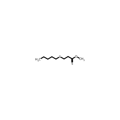 CCCCCSCCC(=S)OC